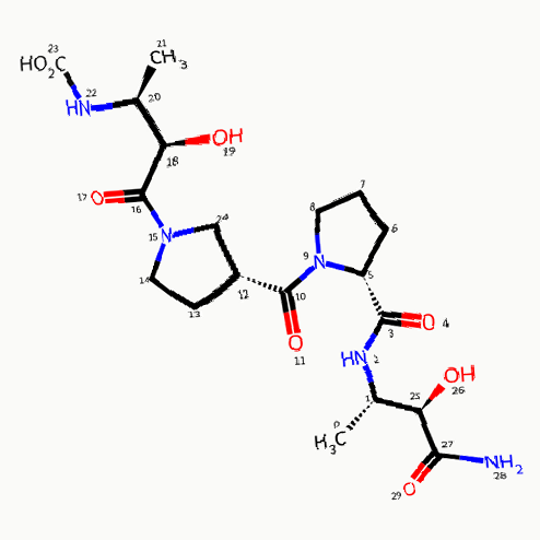 C[C@H](NC(=O)[C@H]1CCCN1C(=O)[C@@H]1CCN(C(=O)[C@H](O)[C@H](C)NC(=O)O)C1)[C@@H](O)C(N)=O